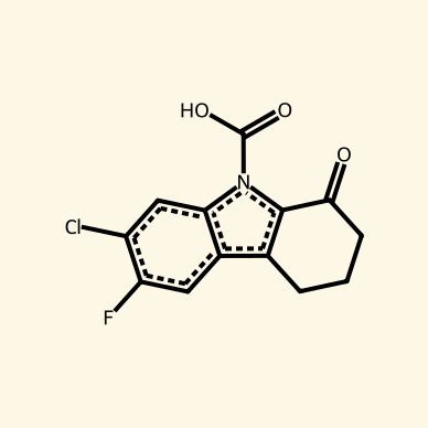 O=C1CCCc2c1n(C(=O)O)c1cc(Cl)c(F)cc21